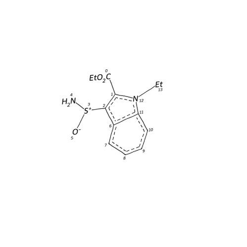 CCOC(=O)c1c([S+](N)[O-])c2ccccc2n1CC